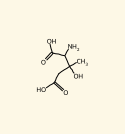 CC(O)(CC(=O)O)C(N)C(=O)O